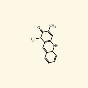 CC1=CC2=C(C=C3C=[C]C=CC3N2)C(C)C1=O